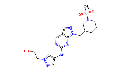 CS(=O)(=O)N1CCCC(Cn2ncc3cnc(Nc4cnn(CCO)c4)nc32)C1